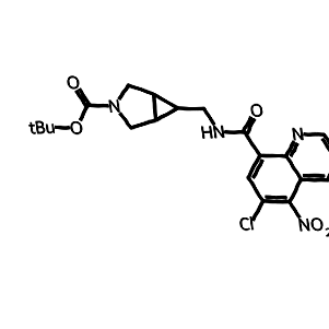 CC(C)(C)OC(=O)N1CC2C(CNC(=O)c3cc(Cl)c([N+](=O)[O-])c4cccnc34)C2C1